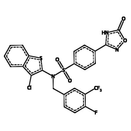 O=c1[nH]c(-c2ccc(S(=O)(=O)N(Cc3ccc(F)c(C(F)(F)F)c3)c3sc4ccccc4c3Cl)cc2)no1